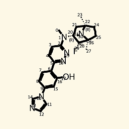 CN(c1ccc(-c2ccc(-n3ccnc3)cc2O)nn1)[C@@H]1C[C@@]2(C)CC[C@@](C)([C@@H]1F)N2C